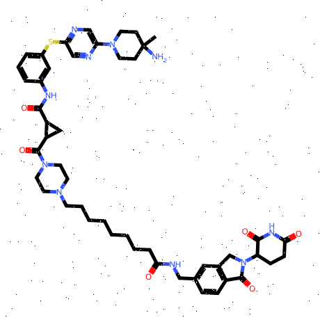 CC1(N)CCN(c2cnc(Sc3cccc(NC(=O)C4CC4C(=O)N4CCN(CCCCCCCCC(=O)NCc5ccc6c(c5)CN(C5CCC(=O)NC5=O)C6=O)CC4)c3)cn2)CC1